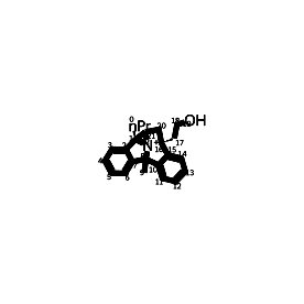 CCC[C@]12c3ccccc3C3(C)c4ccccc4[C@]4(CCO)CC1[N+]342